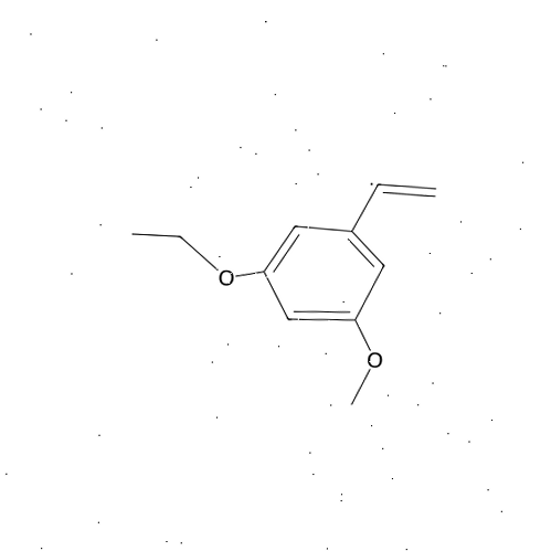 C=[C]c1cc(OC)cc(OCC)c1